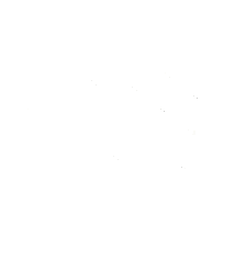 CCc1nc(Nc2ncc(C(=O)Nc3c(C)cccc3Cl)o2)nc(N2CCN(c3cccc(C(F)(F)F)c3)CC2)n1